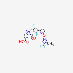 Cc1nc(COc2cccc(-c3cc(F)c(Cc4nc5ccc(C(=O)O)cc5n4C[C@@H]4CCO4)cc3F)n2)cn1C(F)F